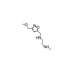 COCc1cc(CNCCN)on1